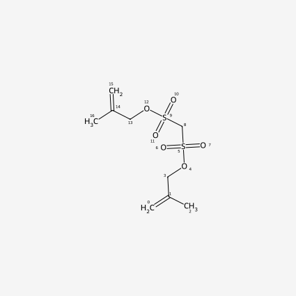 C=C(C)COS(=O)(=O)CS(=O)(=O)OCC(=C)C